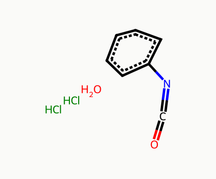 Cl.Cl.O.O=C=Nc1ccccc1